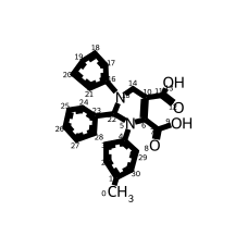 Cc1ccc(N2C(C(=O)O)=C(C(=O)O)CN(c3ccccc3)C2c2ccccc2)cc1